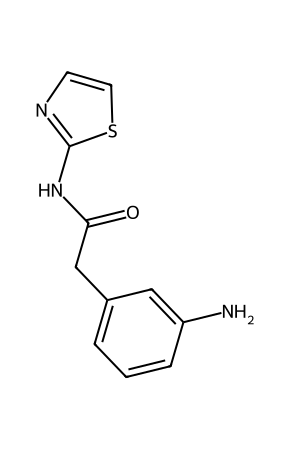 Nc1cccc(CC(=O)Nc2nccs2)c1